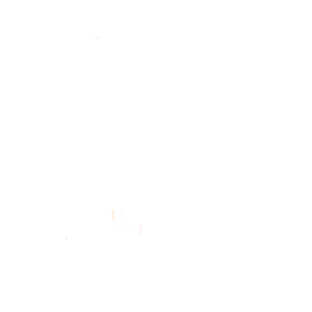 O=[PH](O)c1ccc(F)c(-c2ccccc2)c1Cc1ccccc1